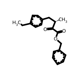 CCc1ccc(C[C@H](C)C(=O)C(=O)OCc2ccccc2)cc1